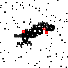 COC(=O)[C@]12CCC(C)(C)CC1=C1CCC3[C@@]4(C)CC[C@H](OC(=O)c5ccccc5C(=O)O)C(C)(C)C4CC[C@@]3(C)[C@]1(C)CC2